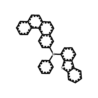 c1ccc(N(c2ccc3c(ccc4ccc5ccccc5c43)c2)c2cccc3c2sc2ccccc23)cc1